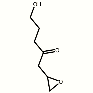 O=C(CCCO)CC1CO1